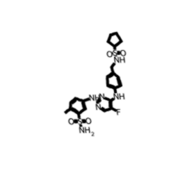 Cc1ccc(Nc2ncc(F)c(Nc3ccc(CNS(=O)(=O)C4CCCC4)cc3)n2)cc1S(N)(=O)=O